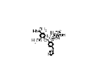 COc1cc(C(=N)N)ccc1OCc1ccc(Cn2ccnc2)cc1.CS(=O)(=O)O.CS(=O)(=O)O